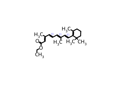 CCOC(=O)C=C(C)/C=C/C=C(C)/C=C/C1=C(C)CCCC1(C)C